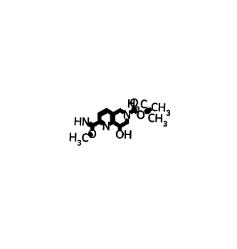 COC(=N)c1ccc2c(n1)C(O)CN(C(=O)OC(C)(C)C)C2